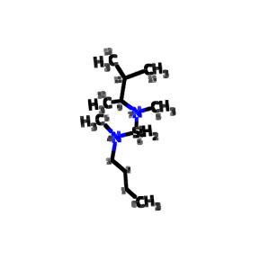 CCCCN(C)[SiH2]N(C)C(C)C(C)C